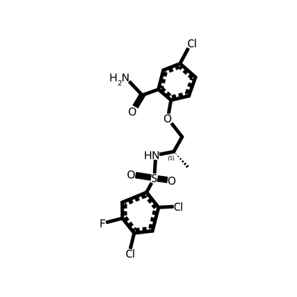 C[C@@H](COc1ccc(Cl)cc1C(N)=O)NS(=O)(=O)c1cc(F)c(Cl)cc1Cl